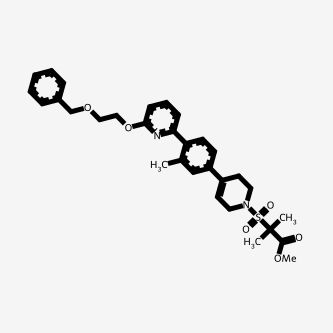 COC(=O)C(C)(C)S(=O)(=O)N1CC=C(c2ccc(-c3cccc(OCCOCc4ccccc4)n3)c(C)c2)CC1